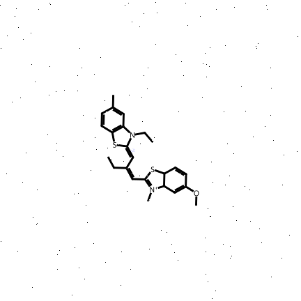 CCC(=CC1=[N+](C)C2C=C(OC)C=CC2S1)/C=C1\Sc2ccc(C)cc2N1CC